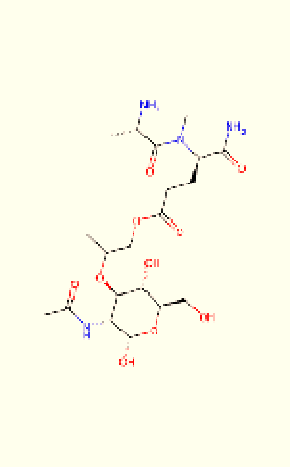 CC(=O)N[C@@H]1[C@@H](OC(C)COC(=O)CC[C@H](C(N)=O)N(C)C(=O)[C@H](C)N)[C@H](O)[C@@H](CO)O[C@@H]1O